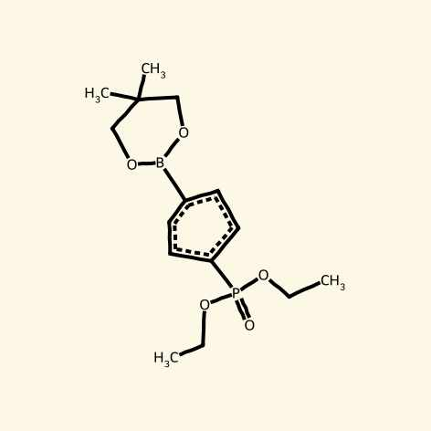 CCOP(=O)(OCC)c1ccc(B2OCC(C)(C)CO2)cc1